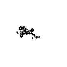 CC(C)CC(NC(=O)N1CCCCCC1)C(=O)NC(Cc1cn(C)c2ccccc12)C(=O)N[C@H](Cc1ccccn1)C(=O)OCCCCCON(O)O